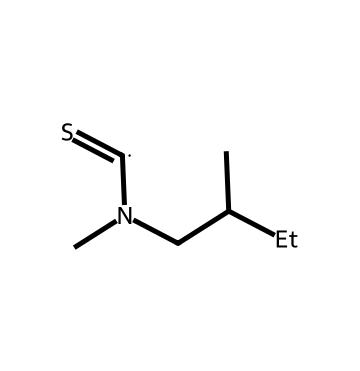 CCC(C)CN(C)[C]=S